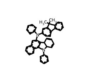 CC1(C)c2ccccc2-c2ccc(N(c3ccccc3)c3cc4ccccc4c4c3C3C=CC=CC3N4c3ccccc3)cc21